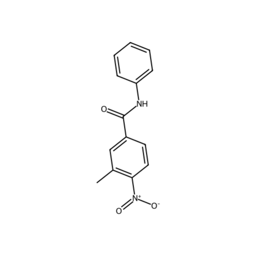 Cc1cc(C(=O)Nc2ccccc2)ccc1[N+](=O)[O-]